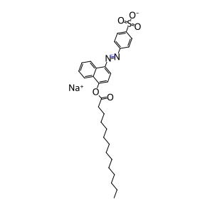 CCCCCCCCCCCCCC(=O)Oc1ccc(/N=N/c2ccc(S(=O)(=O)[O-])cc2)c2ccccc12.[Na+]